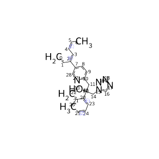 C=C/C(=C\C=C/C)c1ccc(C[C@](O)(Cn2cnnn2)/C(C=C)=C/C=C\C)nc1